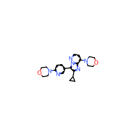 c1cc(N2CCOCC2)c2nc(C3CC3)c(-c3ccc(N4CCOCC4)nc3)n2n1